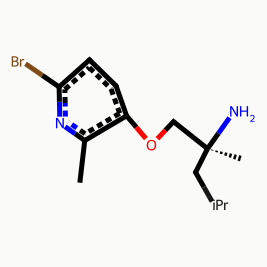 Cc1nc(Br)ccc1OC[C@@](C)(N)CC(C)C